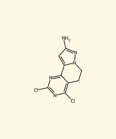 Nc1cc2n(n1)CCc1c(Cl)nc(Cl)nc1-2